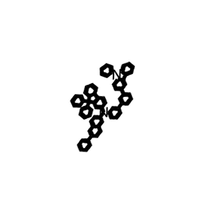 C1=CC2c3ccc(N(c4cccc(-c5cccc(-c6ccc7c(c6)c6ccccc6n7-c6ccccc6)c5)c4)c4ccc5cc(-c6ccccc6)ccc5c4)cc3C(c3ccccc3)(c3ccccc3)C2C=C1